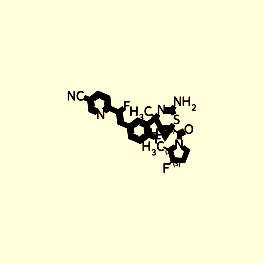 C[C@H]1[C@@H](F)CCN1C(=O)[C@]12C[C@H]1[C@@](C)(c1cc(C=C(F)c3ccc(C#N)cn3)ccc1F)N=C(N)S2